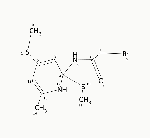 CSC1=CC(NC(=O)CBr)(SC)NC(C)=C1